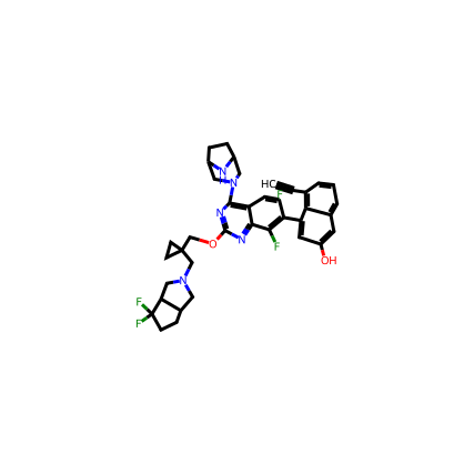 C#Cc1cccc2cc(O)cc(-c3c(F)cc4c(N5CC6CCC(C5)N6)nc(OCC5(CN6CC7CCC(F)(F)C7C6)CC5)nc4c3F)c12